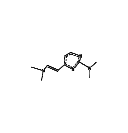 CN(C)/C=C/c1ccnc(N(C)C)n1